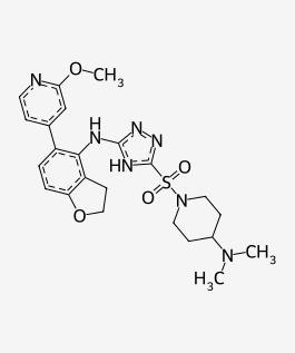 COc1cc(-c2ccc3c(c2Nc2nnc(S(=O)(=O)N4CCC(N(C)C)CC4)[nH]2)CCO3)ccn1